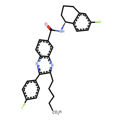 O=C(O)CCCCc1nc2cc(C(=O)N[C@H]3CCCc4cc(F)ccc43)ccc2nc1-c1ccc(F)cc1